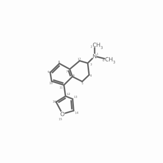 CN(C)C1CCc2c(cccc2-c2ccoc2)C1